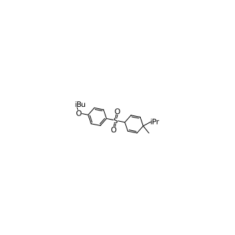 CCC(C)Oc1ccc(S(=O)(=O)C2C=CC(C)(C(C)C)C=C2)cc1